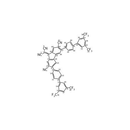 N#CC(C#N)=C1c2cc(C#N)c(-c3ccc(-c4cc(C(F)(F)F)cc(C(F)(F)F)c4)cc3)cc2-c2cc(-c3ccc(-c4cc(C(F)(F)F)cc(C(F)(F)F)c4)cc3)c(C#N)cc21